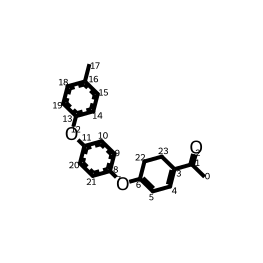 CC(=O)C1=CC=C(Oc2ccc(Oc3ccc(C)cc3)cc2)CC1